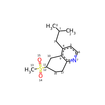 CC(C)Cc1ccnc2c1CC(S(C)(=O)=O)CC2